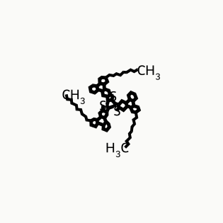 CCCCCCCCCCc1ccc2c3ccccc3c3cc4c(cc3c2c1)sc1c4c2sc3cc4c5cc(CCCCCCCCCC)ccc5c5ccccc5c4cc3c2c2sc3cc4c5cc(CCCCCCCCCC)ccc5c5ccccc5c4cc3c12